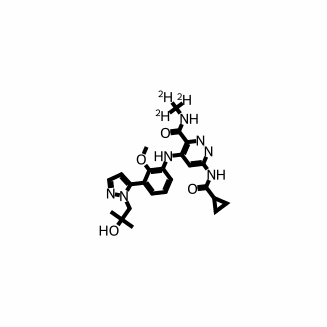 [2H]C([2H])([2H])NC(=O)c1nnc(NC(=O)C2CC2)cc1Nc1cccc(-c2ccnn2CC(C)(C)O)c1OC